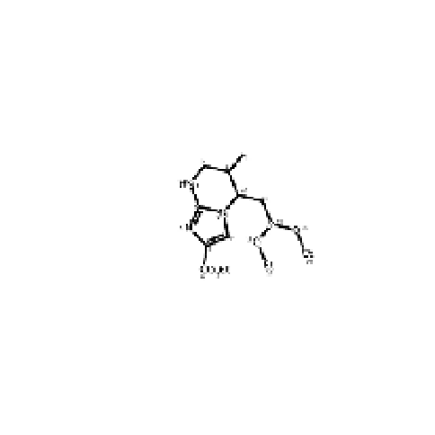 CCOC(=O)c1cn2c(n1)NCC(C)C2CP(OCC)OCC